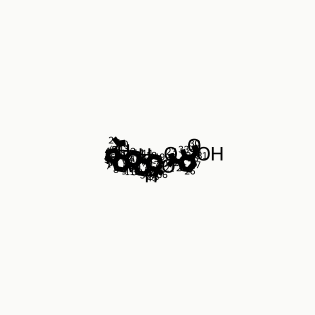 C=C(C)[C@@H]1CC[C@]2(C)CC[C@]3(C)[C@H](CC[C@@H]4[C@@]5(C)CCC(OC(=O)c6cccc(C(=O)O)c6C)C(C)(C)[C@@H]5CC[C@]43C)[C@@H]12